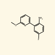 COc1cccc(-c2cc(F)ccc2N)n1